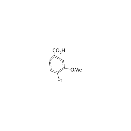 CCc1ccc(C(=O)O)cc1OC